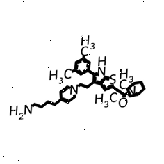 Cc1cc(C)cc(-c2[nH]c3sc(C(C)(C)C(=O)N4C5CCC4CC5)cc3c2CCN2C=CC(CCCCN)=CC2)c1